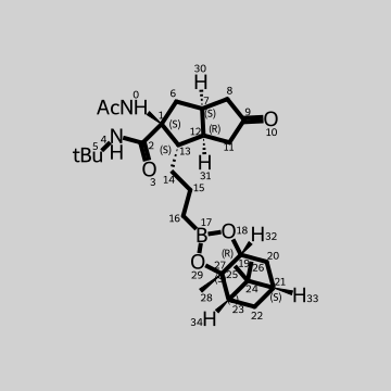 CC(=O)N[C@@]1(C(=O)NC(C)(C)C)C[C@H]2CC(=O)C[C@H]2[C@@H]1CCCB1O[C@@H]2C[C@@H]3C[C@@H](C3(C)C)[C@]2(C)O1